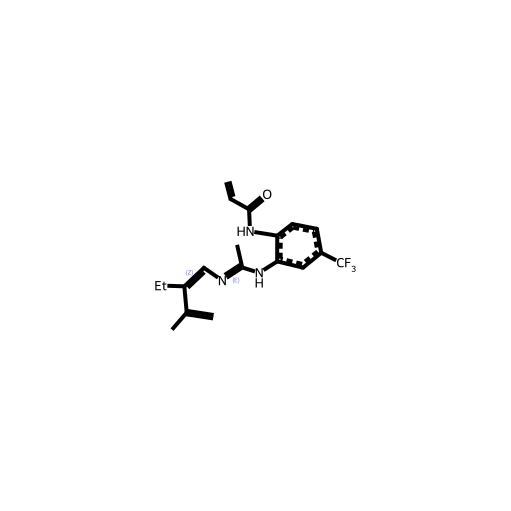 C=CC(=O)Nc1ccc(C(F)(F)F)cc1N/C(C)=N/C=C(/CC)C(=C)C